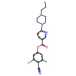 CCCN1CCN(c2ccc(C(=O)Oc3cc(F)c(C#N)c(F)c3)cn2)CC1